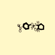 O=[N+]([O-])c1ccc(OP2(=S)O[C@H]3CCCC[C@@H]3S2)cc1